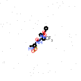 C#Cc1cc(CNC(=O)/C=C/c2ccc(C(F)(F)F)nc2N2CCC[C@H]2C(=O)OCc2ccccc2)cc(F)c1NS(C)(=O)=O